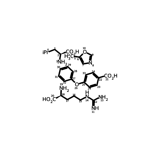 CC(C)C[C@H](N)C(=O)O.Cc1cnco1.N=C(N)NCCC[C@H](N)C(=O)O.O=C(O)c1ccc(Oc2ccccc2)cc1